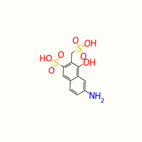 Nc1ccc2cc(S(=O)(=O)O)c(CS(=O)(=O)O)c(O)c2c1